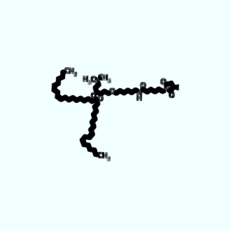 CCCCC/C=C\C/C=C\CCCCCCCCC1(CCCCCCCC/C=C\C/C=C\CCCCC)OC(CCOCCCCCCNC(=O)CCCCCN2C(=O)CC(I)C2=O)C(CCN(C)C)O1